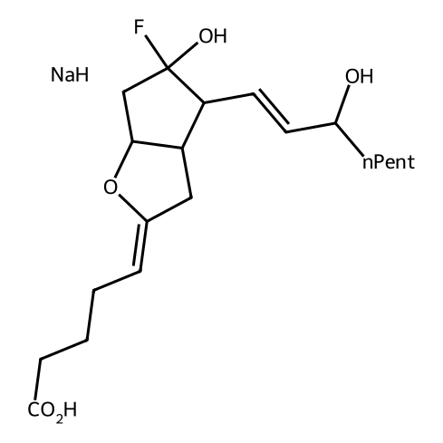 CCCCCC(O)C=CC1C2CC(=CCCCC(=O)O)OC2CC1(O)F.[NaH]